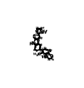 Cc1c(-c2ccc3c(c2)/C(=C/c2ncc[nH]2)C(=O)N3)cnc2c1NCCO2